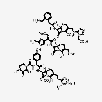 CCN1CCN(C(=O)N[C@@H](C(=O)N[C@@H]2C(=O)N3C(C(=O)O)=C(CSc4nnnn4C)CS[C@H]23)c2ccc(O)cc2)C(=O)C1=O.CO/N=C(/C(=O)N[C@@H]1C(=O)N2C(C(=O)O)=C(COC(C)=O)CS[C@H]12)c1csc(N)n1.NCc1ccccc1CC(=O)N[C@@H]1C(=O)N2C(C(=O)O)=C(CSc3nnnn3CC(=O)O)CS[C@H]12.[NaH]